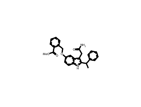 COC(=O)c1ccccc1COc1ccc2[nH]c(C(C)c3ccccc3)c(CC(N)=O)c2c1